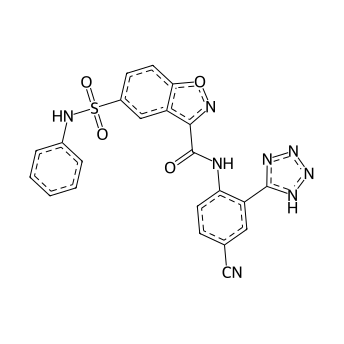 N#Cc1ccc(NC(=O)c2noc3ccc(S(=O)(=O)Nc4ccccc4)cc23)c(-c2nnn[nH]2)c1